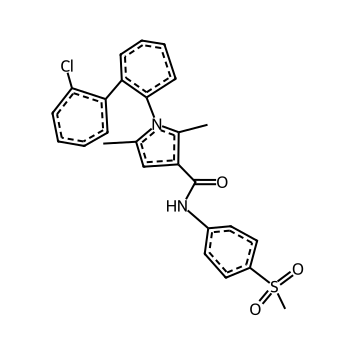 Cc1cc(C(=O)Nc2ccc(S(C)(=O)=O)cc2)c(C)n1-c1ccccc1-c1ccccc1Cl